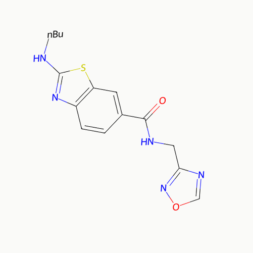 CCCCNc1nc2ccc(C(=O)NCc3ncon3)cc2s1